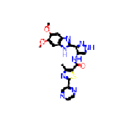 COc1cc2nc(-c3n[nH]cc3NC(=O)c3sc(-c4cnccn4)nc3C)[nH]c2cc1OC